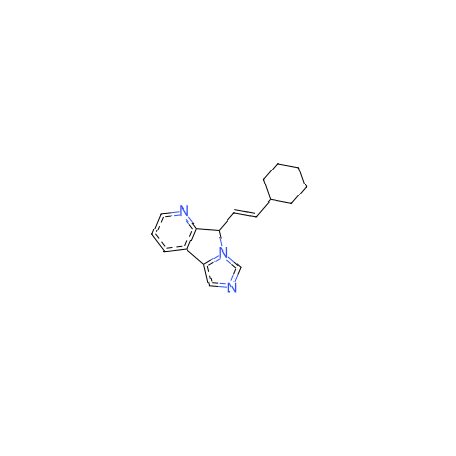 C(=C\C1c2ncccc2-c2cncn21)/C1CCCCC1